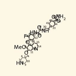 COc1c(OCC2CCNCC2)cc2ncccc2c1Oc1ccc(NC(=O)C(=O)NCCc2ccc(S(N)(=O)=O)cc2)cc1F